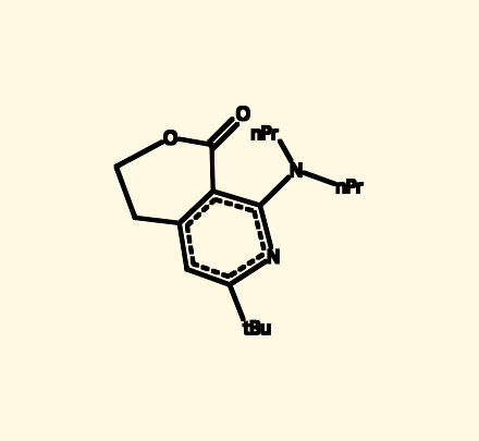 CCCN(CCC)c1nc(C(C)(C)C)cc2c1C(=O)OCC2